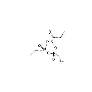 CCCP1(=O)OP(C(=O)CC)OP(=O)(CCC)O1